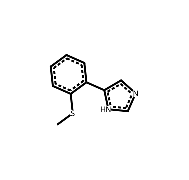 CSc1ccccc1-c1cnc[nH]1